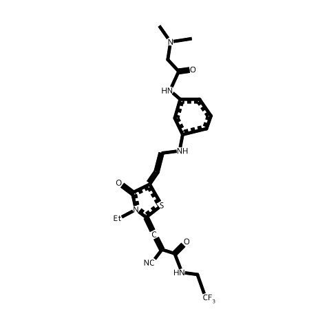 CCn1c(=C=C(C#N)C(=O)NCC(F)(F)F)sc(=C=CNc2cccc(NC(=O)CN(C)C)c2)c1=O